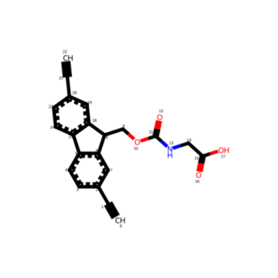 C#Cc1ccc2c(c1)C(COC(=O)NCC(=O)O)c1cc(C#C)ccc1-2